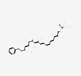 CC(/C=C/C=C\C=C\C=C(/C)C(=O)NC(C)CO)=C\C(C)C(O)/C(C)=C/C(C)CCc1ccccc1